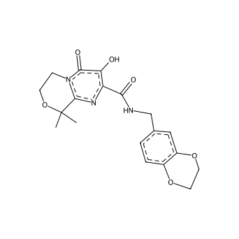 CC1(C)OCCn2c1nc(C(=O)NCc1ccc3c(c1)OCCO3)c(O)c2=O